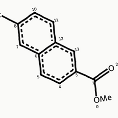 COC(=O)c1ccc2cc(C(C)=O)ccc2c1